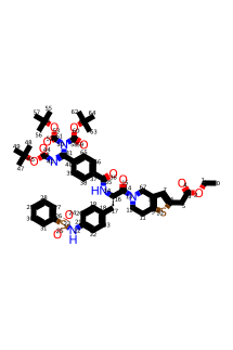 CCOC(=O)Cc1cc2c(s1)CCN(C(=O)[C@H](Cc1ccc(NS(=O)(=O)c3ccccc3)cc1)NC(=O)c1ccc(C(=NC(=O)OC(C)(C)C)N(C(=O)OC(C)(C)C)C(=O)OC(C)(C)C)cc1)C2